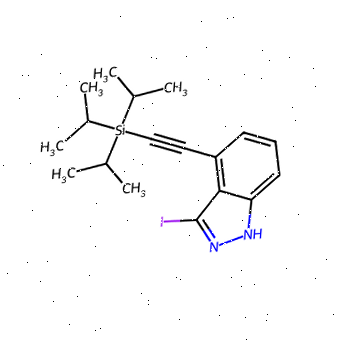 CC(C)[Si](C#Cc1cccc2[nH]nc(I)c12)(C(C)C)C(C)C